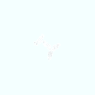 [P]#[Co](#[P])#[P].[P]#[Ni]